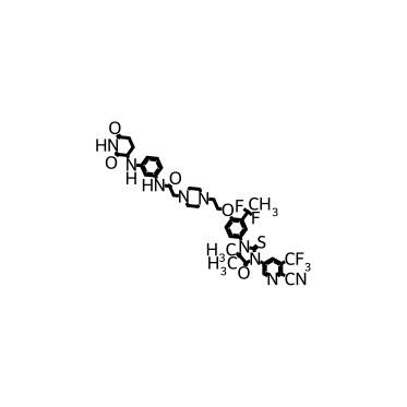 CC(F)(F)c1cc(N2C(=S)N(c3cnc(C#N)c(C(F)(F)F)c3)C(=O)C2(C)C)ccc1OCCN1CCN(CC(=O)Nc2cccc(NC3CCC(=O)NC3=O)c2)CC1